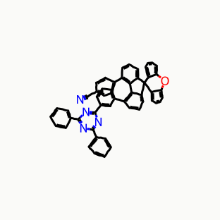 N#Cc1ccc(-c2cccc3c2-c2c(-c4cccc(-c5nc(-c6ccccc6)nc(-c6ccccc6)n5)c4)cccc2C32c3ccccc3Oc3ccccc32)cc1